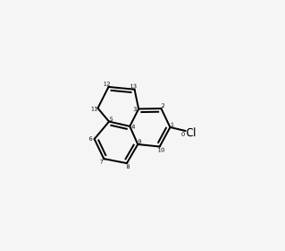 Clc1cc2c3c(cccc3c1)CC=C2